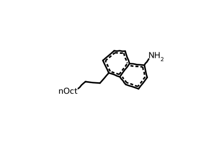 CCCCCCCCCCc1cccc2c(N)cccc12